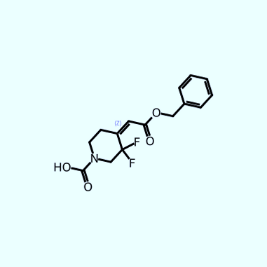 O=C(/C=C1/CCN(C(=O)O)CC1(F)F)OCc1ccccc1